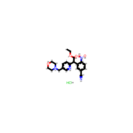 CCOC(=O)C(c1ccc(CN2CCOCC2)cn1)c1cc(C#N)ccc1[N+](=O)[O-].Cl